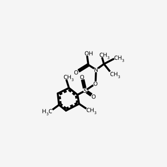 Cc1cc(C)c(S(=O)(=O)ON(C(=O)O)C(C)(C)C)c(C)c1